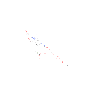 O=C(O)C(F)(F)F.O=C(O)CCOCCOCCOCCOCCNc1ccc2c(c1)C(=O)N(C1CCC(=O)NC1=O)C2=O